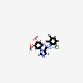 COc1cc2nc(Nc3c(Cl)ccc(C)c3C)c3cncn3c2cc1OC